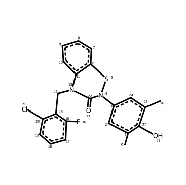 Cc1cc(N2Sc3ccccc3N(Cc3c(F)cccc3Cl)C2=O)cc(C)c1O